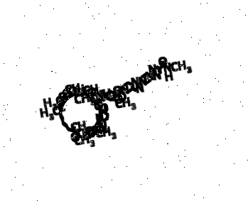 CCNC(=O)c1cnc(N2CCN(c3ncc4c(n3)CCN(C(=O)O[C@@H]3CC[C@@H](C[C@@H](N)[C@@H]5CC(=O)[C@H](C)/C=C(\C)[C@@H](O)[C@@H](OC)C(=O)[C@H](C)C[C@H](C)/C=C/C=C/C=C(\C)[C@@H](OC)C[C@@H]6CC[C@@H](C)[C@@](O)(O6)C(=O)C(=O)N6CCCC[C@H]6C(=O)O5)C[C@H]3OC)C4)CC2)nc1